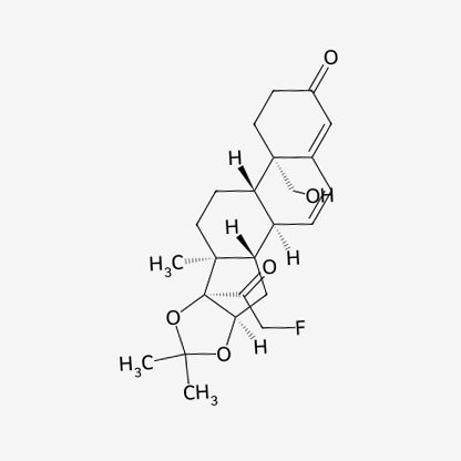 CC1(C)O[C@@H]2C[C@H]3[C@@H]4C=CC5=CC(=O)CC[C@]5(CO)[C@H]4CC[C@]3(C)[C@]2(C(=O)CF)O1